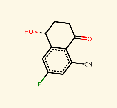 N#Cc1cc(F)cc2c1C(=O)CC[C@H]2O